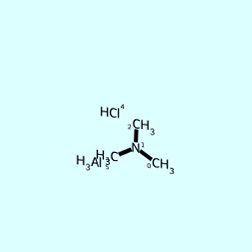 CN(C)C.Cl.[AlH3]